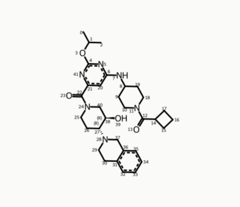 CC(C)Oc1nc(NC2CCN(C(=O)C3CCC3)CC2)cc(C(=O)N2CC[C@@H](N3CCc4ccccc4C3)[C@H](O)C2)n1